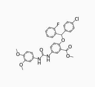 COC(=O)c1cc(NC(=O)Nc2ccc(OC)c(OC)c2)ccc1OC(c1ccc(Cl)cc1)c1ccccc1F